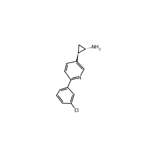 N[C@H]1C[C@@H]1c1ccc(-c2cccc(Cl)c2)nc1